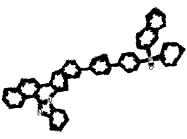 O=P(c1ccccc1)(c1ccc(-c2ccc(-c3ccc4cc5c6ccc7ccccc7c6c6nc7ccccc7n6c5cc4c3)cc2)cc1)c1ccc2ccccc2c1